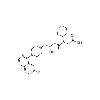 O=C(O)CC(NC[C@H](O)CN1CCN(c2nccc3ccc(F)cc23)CC1)C1CCCCC1